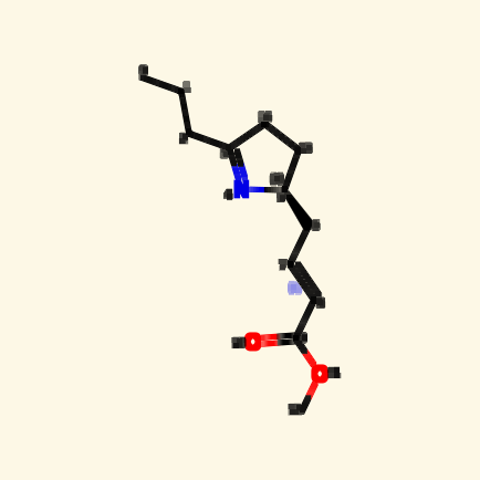 CCCC1=N[C@H](C/C=C/C(=O)OC)CC1